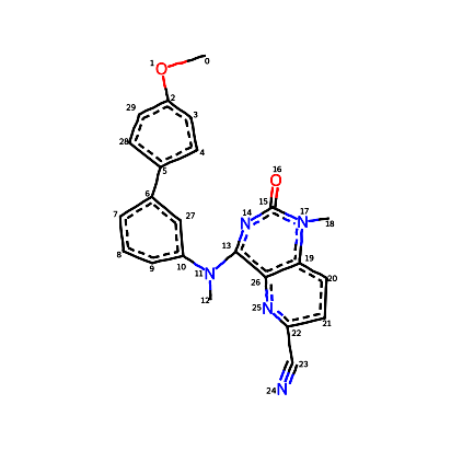 COc1ccc(-c2cccc(N(C)c3nc(=O)n(C)c4ccc(C#N)nc34)c2)cc1